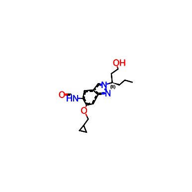 CCC[C@H](CCO)n1cc2cc(NC=O)c(OCC3CC3)cc2n1